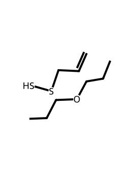 C=CCSS.CCCOCCC